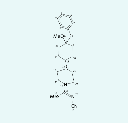 COC1(Cc2ccccc2)CCC(N2CCN(C(=NC#N)SC)CC2)CC1